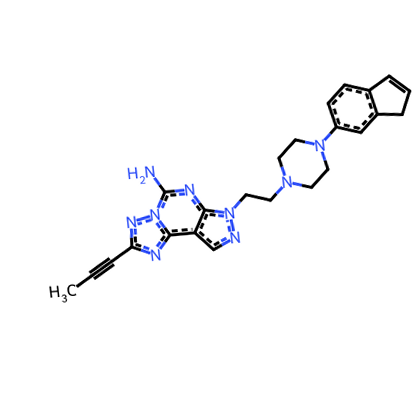 CC#Cc1nc2c3cnn(CCN4CCN(c5ccc6c(c5)CC=C6)CC4)c3nc(N)n2n1